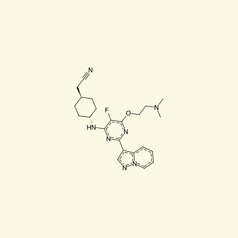 CN(C)CCOc1nc(-c2cnn3ccccc23)nc(N[C@H]2CC[C@H](CC#N)CC2)c1F